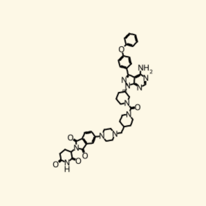 Nc1ncnc2c1c(-c1ccc(Oc3ccccc3)cc1)nn2[C@@H]1CCCN(C(=O)N2CCC(CN3CCN(c4ccc5c(c4)C(=O)N(C4CCC(=O)NC4=O)C5=O)CC3)CC2)C1